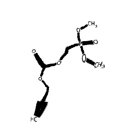 C#CCOC(=O)OCP(=O)(OC)OC